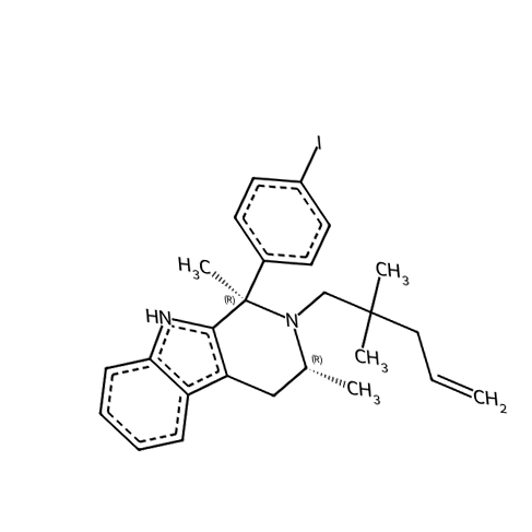 C=CCC(C)(C)CN1[C@H](C)Cc2c([nH]c3ccccc23)[C@@]1(C)c1ccc(I)cc1